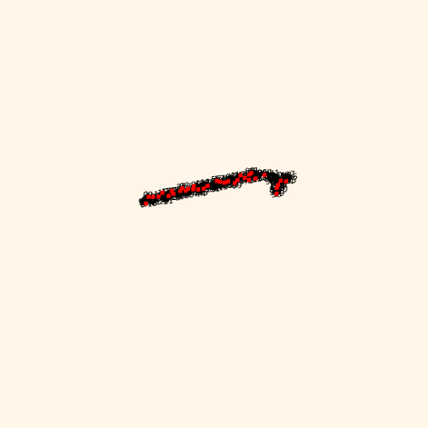 CC1(C)c2ccccc2-c2ccc(-c3ccc4c(c3)C(C)(C)c3cc(-c5ccc6c(c5)C(C)(C)c5cc(-c7ccc8c(c7)C(C)(C)c7cc(-c9ccc%10c(c9)C(C)(C)c9cc(-c%11ccc%12c(c%11)C(C)(C)c%11cc(-c%13ccc%14c(c%13)C(C)(C)c%13cc(CCCc%15ccc(-c%16nc(-c%17ccccc%17)nc(-c%17ccccc%17)n%16)cc%15)ccc%13-%14)ccc%11-%12)ccc9-%10)ccc7-8)ccc5-6)ccc3-4)cc21